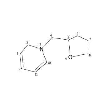 C1=CCN(CC2CCCO2)C=C1